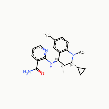 CC(=O)N1c2ccc(C#N)cc2[C@H](Nc2ncccc2C(N)=O)[C@@H](C)[C@H]1C1CC1